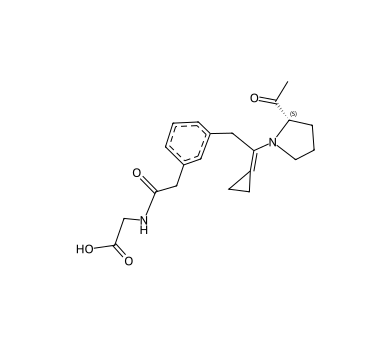 CC(=O)[C@@H]1CCCN1C(Cc1cccc(CC(=O)NCC(=O)O)c1)=C1CC1